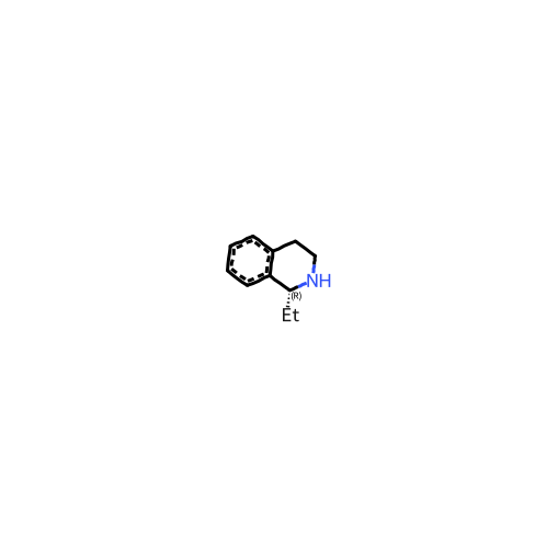 CC[C@H]1NCCc2ccccc21